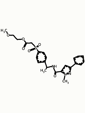 COCCOC(=O)CS(=O)(=O)c1ccc(C(C)NC(=O)c2cc(-c3ccccc3)nn2C)cc1